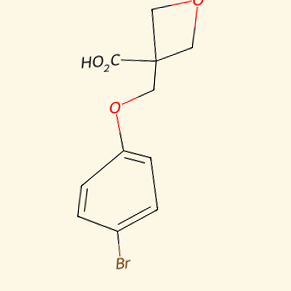 O=C(O)C1(COc2ccc(Br)cc2)COC1